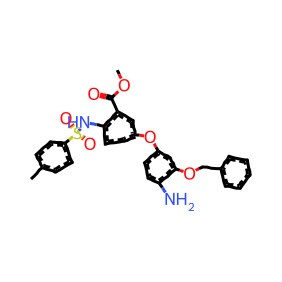 COC(=O)c1cc(Oc2ccc(N)c(OCc3ccccc3)c2)ccc1NS(=O)(=O)c1ccc(C)cc1